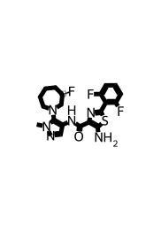 Cn1ncc(NC(=O)c2nc(-c3c(F)cccc3F)sc2N)c1N1CCCC[C@H](F)C1